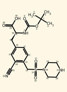 CC(C)(C)OC(=O)N[C@@H](Cc1ccc(CS(=O)(=O)N2CCNCC2)c(C#N)c1)C(=O)O